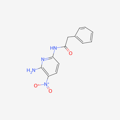 Nc1nc(NC(=O)Cc2ccccc2)ccc1[N+](=O)[O-]